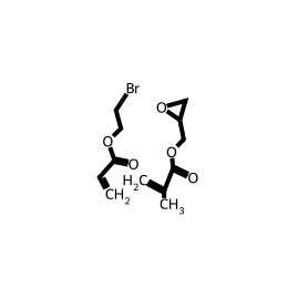 C=C(C)C(=O)OCC1CO1.C=CC(=O)OCCBr